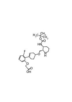 CC(C)(C)OC(=O)NC1CCCN[C@H]1COC1CC=C(c2c(F)cccc2OCC(=O)O)CC1